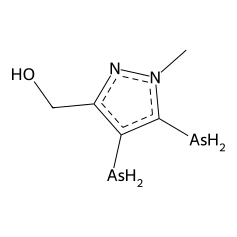 Cn1nc(CO)c([AsH2])c1[AsH2]